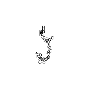 NC1(C(=O)N[C@@H](CCN2CCN(C(=O)CN3CCC(OC4CCN(C(=O)[C@H](NC(=O)c5cccc(C6CC6)c5F)C5CCCCC5)CC4)CC3)CC2)c2ccc(Cl)cc2)CCN(c2ncnc3[nH]ccc23)CC1